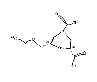 CCOC[C@@H]1CN(C(=O)O)C[C@H](C(=O)O)O1